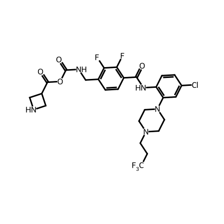 O=C(NCc1ccc(C(=O)Nc2ccc(Cl)cc2N2CCN(CCC(F)(F)F)CC2)c(F)c1F)OC(=O)C1CNC1